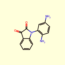 Nc1ccc(N)c(N2C(=O)C(=O)c3ccccc32)c1